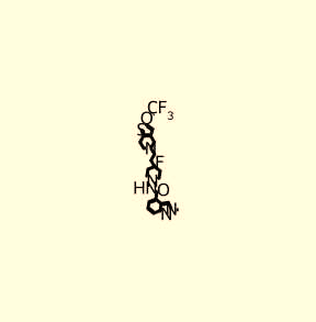 Cn1cc2c(C(=O)NN3CCC(F)(CCN4CCc5sc(OCC(F)(F)F)cc5C4)CC3)cccc2n1